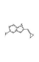 Fc1ccc2sc(C=C3CC3)cc2c1